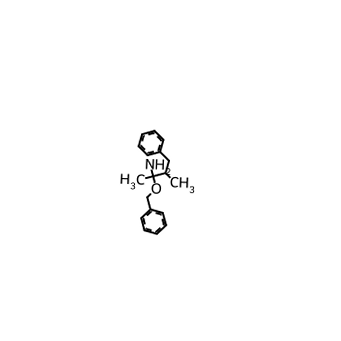 CC(Cc1ccccc1)C(C)(N)OCc1ccccc1